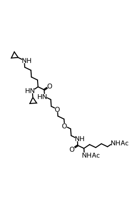 CC(=O)NCCCCC(NC(C)=O)C(=O)NCCOCCOCCNC(=O)C(CCCCNC1CC1)NC1CC1